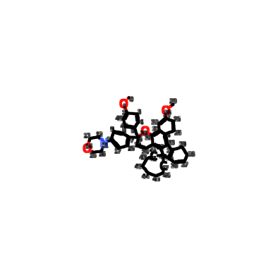 COc1ccc(C2(c3ccc(N4CCOCC4)cc3)C=Cc3c4c(c5ccc(OC)cc5c3O2)C2=C(C=CCC2)C42CCCCCCC2)cc1